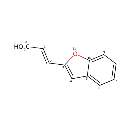 O=C(O)/C=C/c1cc2ccccc2o1